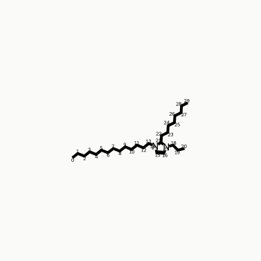 CCCCCCCCCCCCCCN1C=CN(CCC)C1CCCCCCCC